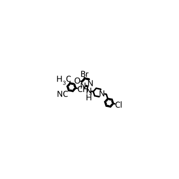 Cc1cc(C#N)cc(C)c1Oc1nc(NC2CCN(Cc3cccc(Cl)c3)CC2)ncc1Br